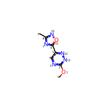 COc1ncc(-c2nc(C)no2)nn1